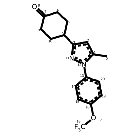 Cc1cc(C2CCC(=O)CC2)nn1-c1ccc(OC(F)(F)F)cc1